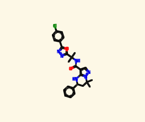 CC(C)(NC(=O)c1cnn2c1NC(c1ccccc1)CC2(C)C)c1nnc(-c2ccc(Cl)cc2)o1